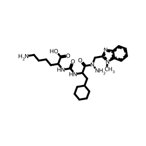 Cn1c(CN(N)C(=O)C(CC2CCCCC2)NC(=O)NC(CCCCN)C(=O)O)nc2ccccc21